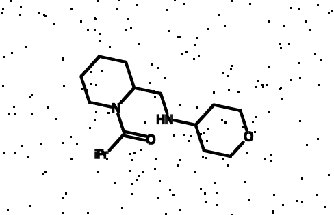 CC(C)C(=O)N1CCCCC1CNC1CCOCC1